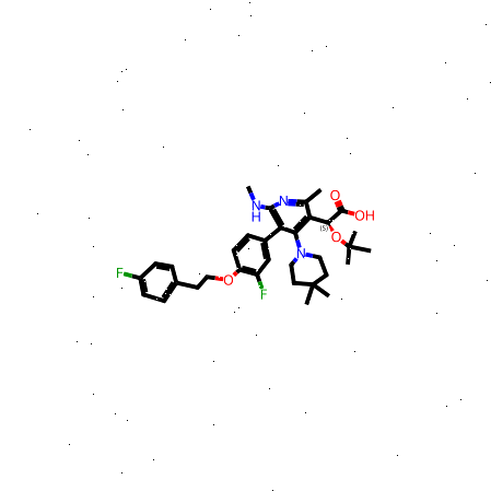 CNc1nc(C)c([C@H](OC(C)(C)C)C(=O)O)c(N2CCC(C)(C)CC2)c1-c1ccc(OCCc2ccc(F)cc2)c(F)c1